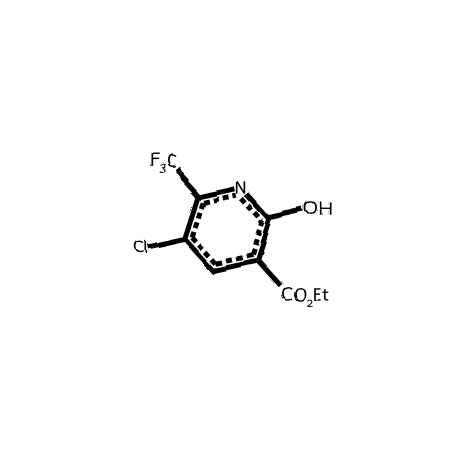 CCOC(=O)c1cc(Cl)c(C(F)(F)F)nc1O